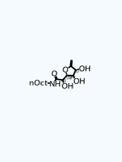 C=C1O[C@H]([C@@H](O)C(=O)NCCCCCCCC)[C@H](O)[C@@H]1O